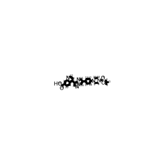 CC(C)(C)OC(=O)N1CCN(c2ccc(-c3cnc4c(-c5ccnc6cc(C(=O)O)ccc56)cnn4c3)cc2)CC1